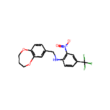 O=[N+]([O-])c1cc(C(F)(F)F)ccc1NCc1ccc2c(c1)OCCCO2